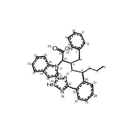 CCCC(CC(Cc1ccccc1)C(C(=O)O)n1ccc2ccccc21)c1ccccc1-c1nn[nH]n1